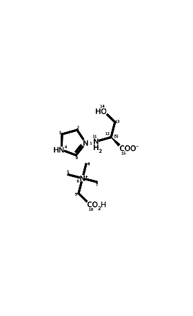 C1=NCCN1.C[N+](C)(C)CC(=O)O.N[C@@H](CO)C(=O)[O-]